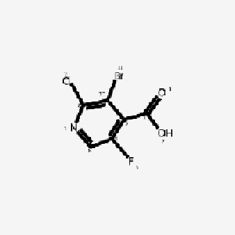 O=C(O)c1c(F)cnc(Cl)c1Br